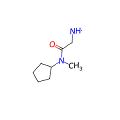 CN(C(=O)C[NH])C1CCCC1